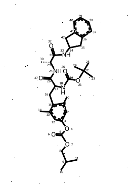 Cc1cc(OC(=O)OCC(C)C)cc(C)c1CC(NC(=O)OC(C)(C)C)C(=O)N[C@H](C)C(=O)NC1Cc2ccccc2C1